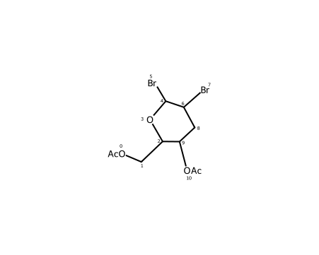 CC(=O)OCC1OC(Br)C(Br)CC1OC(C)=O